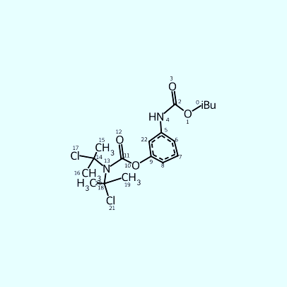 CCC(C)OC(=O)Nc1cccc(OC(=O)N(C(C)(C)Cl)C(C)(C)Cl)c1